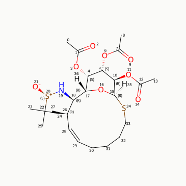 CC(=O)O[C@@H]1[C@H](OC(C)=O)[C@@H](OC(C)=O)[C@@H]2O[C@@H]1[C@H](N[S@+]([O-])C(C)(C)C)[C@H](C)C=CCCCCS2